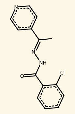 C/C(=N\NC(=O)c1ccccc1Cl)c1ccncc1